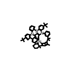 Cc1cc2c3c(C)c1C(C)(C)c1cccc(c1)N1c4cc(C(C)(C)C)ccc4B4c5ccccc5N(c5ccc(C(C)(C)C)cc5-c5ccccc5)c5cc(cc1c54)N3C1(C)CCCCC21C